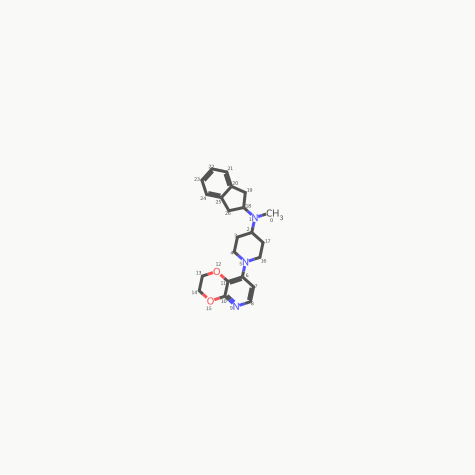 CN(C1CCN(c2ccnc3c2OCCO3)CC1)C1Cc2ccccc2C1